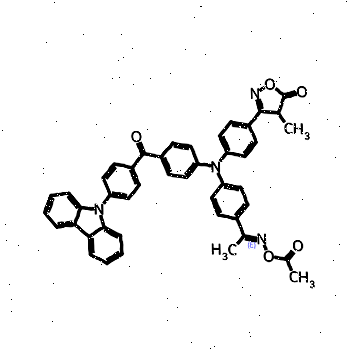 CC(=O)O/N=C(\C)c1ccc(N(c2ccc(C(=O)c3ccc(-n4c5ccccc5c5ccccc54)cc3)cc2)c2ccc(C3=NOC(=O)C3C)cc2)cc1